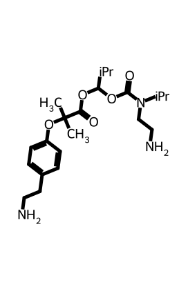 CC(C)C(OC(=O)N(CCN)C(C)C)OC(=O)C(C)(C)Oc1ccc(CCN)cc1